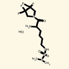 CN(C)S(=O)(=O)NCCCCC(N)C(=O)N1CC(F)(F)C(F)(F)C1.Cl